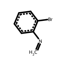 C=Nc1ccccc1Br